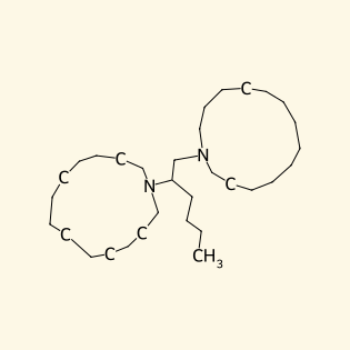 CCCCC(CN1CCCCCCCCCCCCC1)N1CCCCCCCCCCCCC1